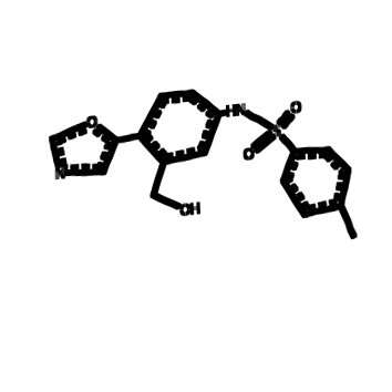 Cc1ccc(S(=O)(=O)Nc2ccc(-c3cnco3)c(CO)c2)cc1